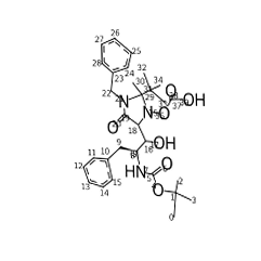 CC(C)(C)OC(=O)N[C@@H](Cc1ccccc1)C(O)C1C(=O)N(Cc2ccccc2)C(C)(C(C)(C)C)N1OC(=O)O